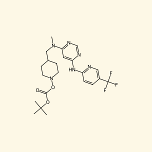 CN(CC1CCN(OC(=O)OC(C)(C)C)CC1)c1cc(Nc2ccc(C(F)(F)F)cn2)ncn1